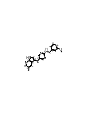 COc1cc(CNc2ncc(Cc3c[nH]c4ncc(C)cc34)cn2)ccn1